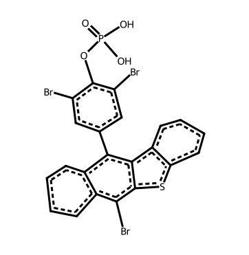 O=P(O)(O)Oc1c(Br)cc(-c2c3ccccc3c(Br)c3sc4ccccc4c23)cc1Br